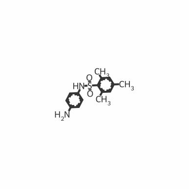 Cc1cc(C)c(S(=O)(=O)Nc2ccc(N)cc2)c(C)c1